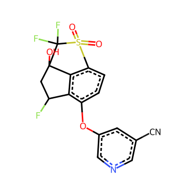 N#Cc1cncc(Oc2ccc3c4c2C(F)CC4(O)C(F)(F)S3(=O)=O)c1